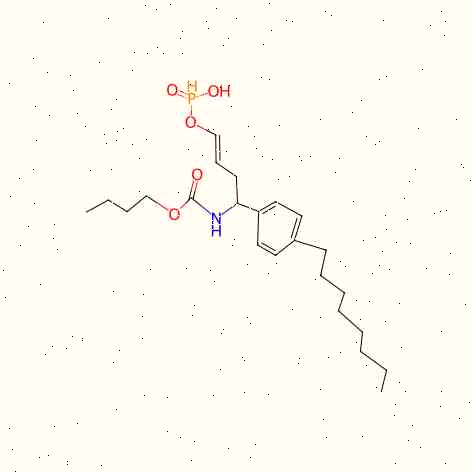 CCCCCCCCc1ccc(C(CC=CO[PH](=O)O)NC(=O)OCCCC)cc1